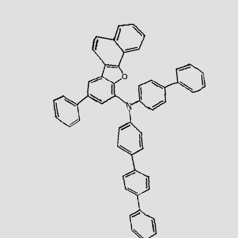 c1ccc(-c2ccc(-c3ccc(N(c4ccc(-c5ccccc5)cc4)c4cc(-c5ccccc5)cc5c4oc4c6ccccc6ccc54)cc3)cc2)cc1